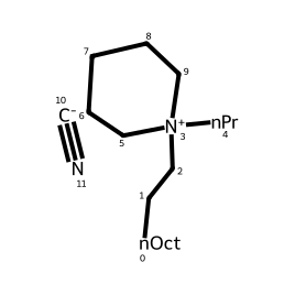 CCCCCCCCCC[N+]1(CCC)CCCCC1.[C-]#N